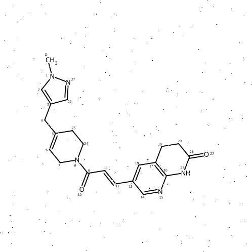 Cn1cc(CC2=CCN(C(=O)C=Cc3cnc4c(c3)CCC(=O)N4)CC2)cn1